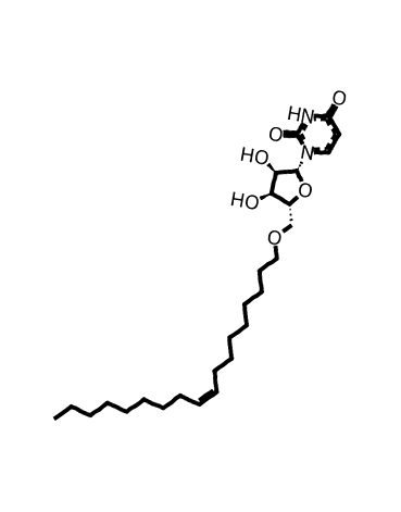 CCCCCCCC/C=C\CCCCCCCCOC[C@H]1O[C@@H](n2ccc(=O)[nH]c2=O)[C@H](O)[C@@H]1O